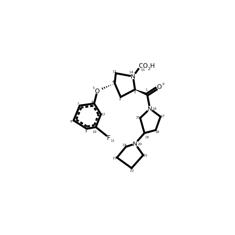 O=C([C@H]1C[C@H](Oc2cccc(F)c2)CN1C(=O)O)N1CCC(N2CCCC2)C1